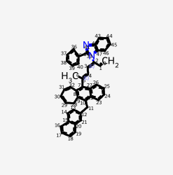 C=C/C(=C\C=C(/C)c1c2c(c(Cc3ccc4ccccc4c3)c3ccccc13)CC=CC=C2)n1c(-c2ccccc2)nc2ccccc21